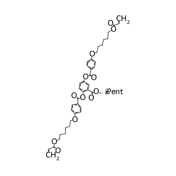 C=CC(=O)OCCCCCCOc1ccc(C(=O)Oc2ccc(OC(=O)c3ccc(OCCCCCCOC(=O)C=C)cc3)c(C(=O)OC[C@@H](C)CCC)c2)cc1